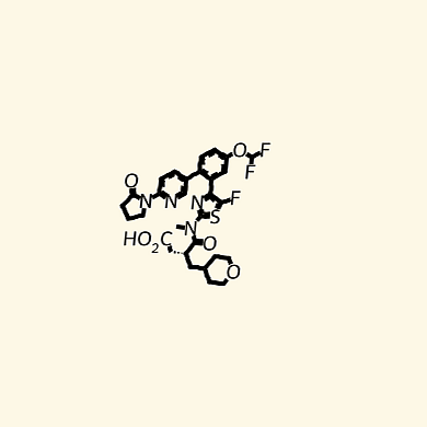 CN(C(=O)[C@@H](CC(=O)O)CC1CCOCC1)c1nc(-c2cc(OC(F)F)ccc2-c2ccc(N3CCCC3=O)nc2)c(F)s1